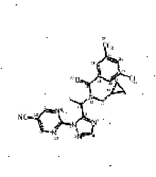 CC(c1ncnn1-c1ncc(C#N)cn1)N(CC1CC1)C(=O)c1cc(Cl)cc(C(F)(F)F)c1